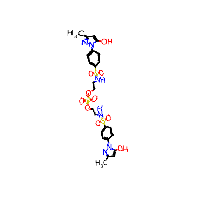 Cc1cc(O)n(-c2ccc(S(=O)(=O)NCCOS(=O)(=O)OCCNS(=O)(=O)c3ccc(-n4nc(C)cc4O)cc3)cc2)n1